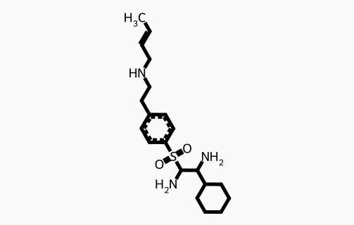 C/C=C/CNCCc1ccc(S(=O)(=O)C(N)C(N)C2CCCCC2)cc1